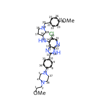 COCCN1CCN(c2ccc(-c3nc4c(NC5CCN(Cc6ccc(OC)cc6)C5)c(Cl)cnc4[nH]3)cc2)CC1